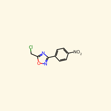 O=[N+]([O-])c1ccc(-c2noc(CCl)n2)cc1